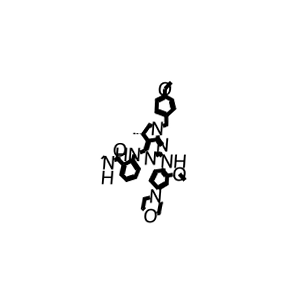 CNC(=O)c1ccccc1Nc1nc(Nc2ccc(N3CCOCC3)cc2OC)nc2c1[C@H](C)CN2Cc1ccc(OC)cc1